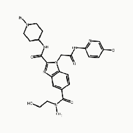 CC(C)N1CCC(NC(=O)c2nc3cc(C(=O)N(C)CCO)ccc3n2CC(=O)Nc2ccc(Cl)cn2)CC1